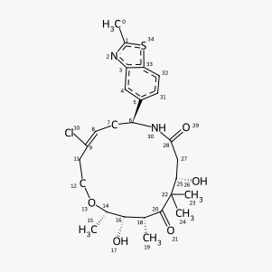 Cc1nc2cc([C@@H]3C/C=C(/Cl)CCO[C@@H](C)[C@@H](O)[C@@H](C)C(=O)C(C)(C)[C@@H](O)CC(=O)N3)ccc2s1